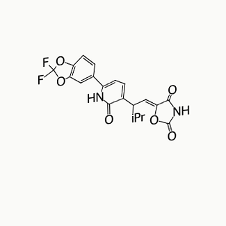 CC(C)C(/C=C1\OC(=O)NC1=O)c1ccc(-c2ccc3c(c2)OC(F)(F)O3)[nH]c1=O